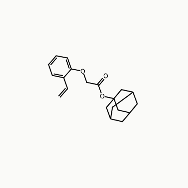 C=Cc1ccccc1OCC(=O)OC12CC3CC(CC(C3)C1)C2